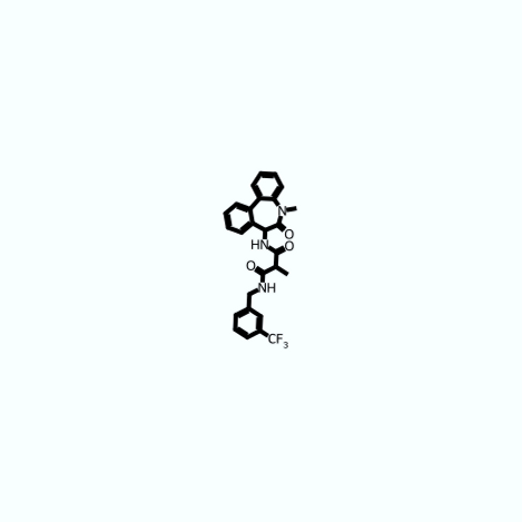 CC(C(=O)NCc1cccc(C(F)(F)F)c1)C(=O)NC1C(=O)N(C)c2ccccc2-c2ccccc21